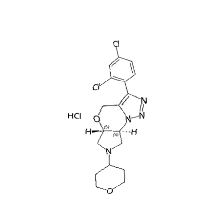 Cl.Clc1ccc(-c2nnn3c2CO[C@H]2CN(C4CCOCC4)C[C@@H]23)c(Cl)c1